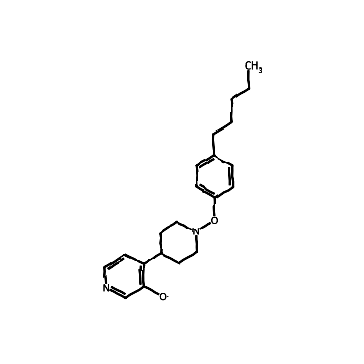 CCCCCc1ccc(ON2CCC(c3ccncc3[O])CC2)cc1